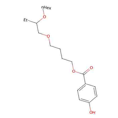 CCCCCCOC(CC)COCCCCOC(=O)c1ccc(O)cc1